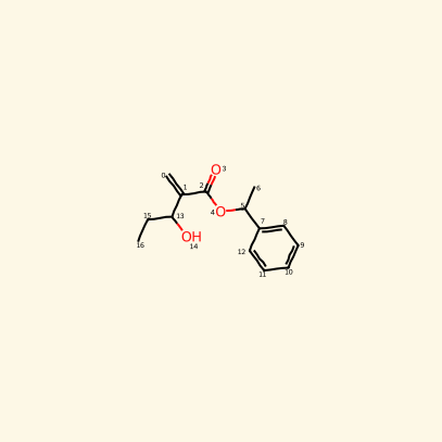 C=C(C(=O)OC(C)c1ccccc1)C(O)CC